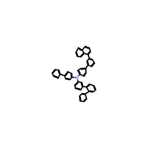 c1ccc(-c2ccc(N(c3ccc(-c4cccc(-c5cccc6ccccc56)c4)cc3)c3cccc(-c4ccccc4-c4ccccc4)c3)cc2)cc1